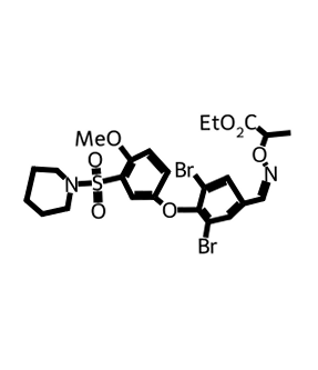 CCOC(=O)C(C)O/N=C\c1cc(Br)c(Oc2ccc(OC)c(S(=O)(=O)N3CCCCC3)c2)c(Br)c1